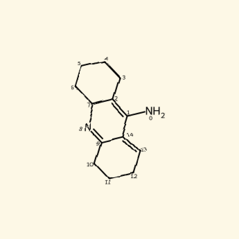 NC1=C2CCCCC2N=C2CCCC=C21